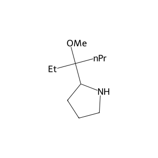 CCCC(CC)(OC)C1CCCN1